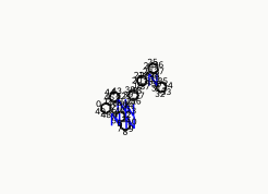 c1ccc(-c2nc3cccnc3c3nc(-c4ccc(-c5ccc6c7ccccc7n(-c7ccccc7)c6c5)cc4)n(-c4ccccc4)c23)cc1